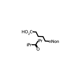 CC(C)C(=O)C(C)C.CCCCCCCCCCCCCC(=O)O